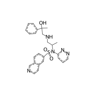 CC(CNCC(C)(O)c1ccccc1)N(c1cccnn1)S(=O)(=O)c1ccc2cnccc2c1